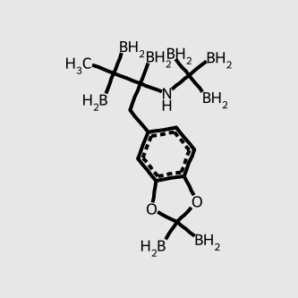 BC(B)(B)NC(B)(Cc1ccc2c(c1)OC(B)(B)O2)C(B)(B)C